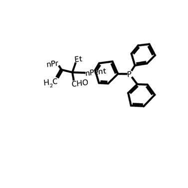 C=C(CCC)C(C=O)(CC)CCCCC.c1ccc(P(c2ccccc2)c2ccccc2)cc1